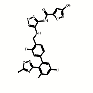 Cc1nc(-c2c(F)cc(Cl)cc2-c2ccc(CNc3nonc3NC(=O)c3cc(O)no3)c(F)c2)no1